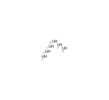 [LiH].[LiH].[LiH].[LiH].[LiH].[LiH]